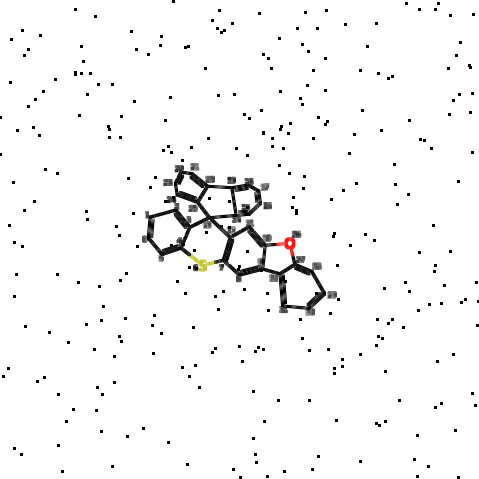 c1ccc2c(c1)Sc1cc3c(cc1C21c2ccccc2-c2ccccc21)oc1ccccc13